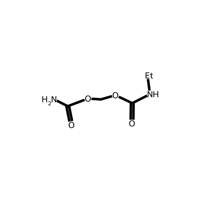 CCNC(=O)OCOC(N)=O